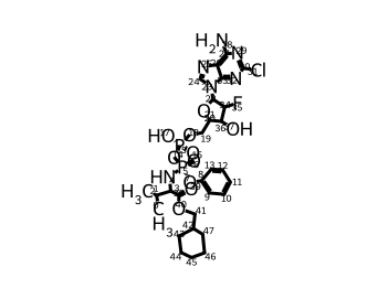 CC(C)C(NP(=O)(Oc1ccccc1)OP(=O)(O)OCC1OC(n2cnc3c(N)nc(Cl)nc32)C(F)C1O)C(=O)OCC1CCCCC1